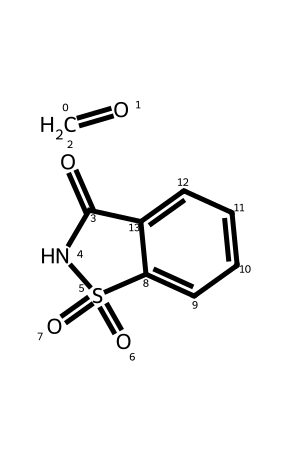 C=O.O=C1NS(=O)(=O)c2ccccc21